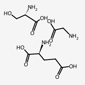 NCC(=O)O.N[C@@H](CCC(=O)O)C(=O)O.N[C@@H](CO)C(=O)O